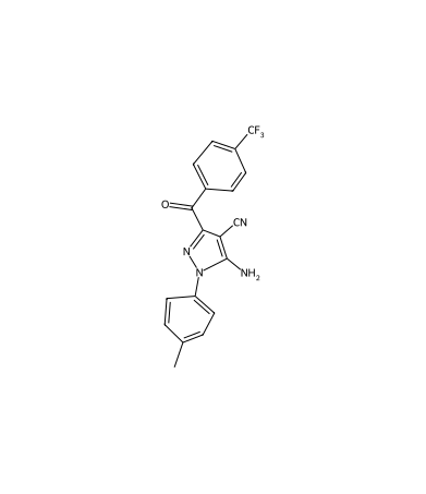 Cc1ccc(-n2nc(C(=O)c3ccc(C(F)(F)F)cc3)c(C#N)c2N)cc1